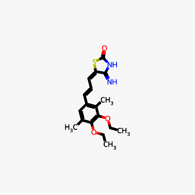 CCOc1c(C)cc(C=CC=C2SC(=O)NC2=N)c(C)c1OCC